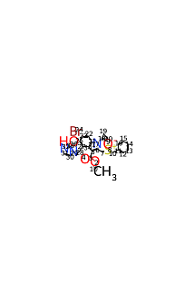 CCOC(=O)c1c(C[S+]([O-])Cc2ccccc2)n(C2CC2)c2cc(Br)c(O)c(Cn3ccnc3)c12